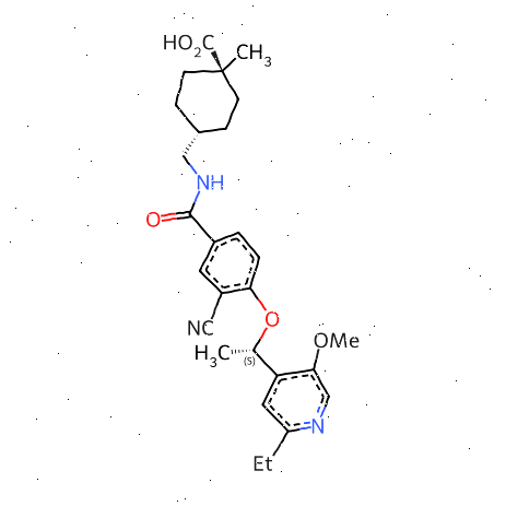 CCc1cc([C@H](C)Oc2ccc(C(=O)NC[C@H]3CC[C@](C)(C(=O)O)CC3)cc2C#N)c(OC)cn1